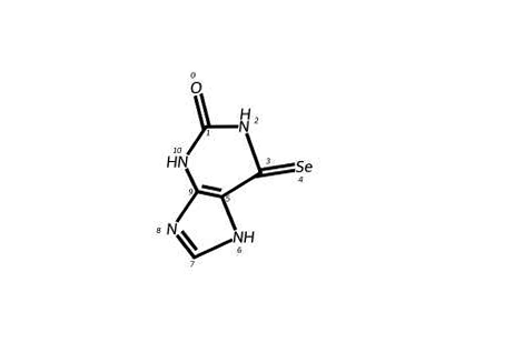 O=c1[nH]c(=[Se])c2[nH]cnc2[nH]1